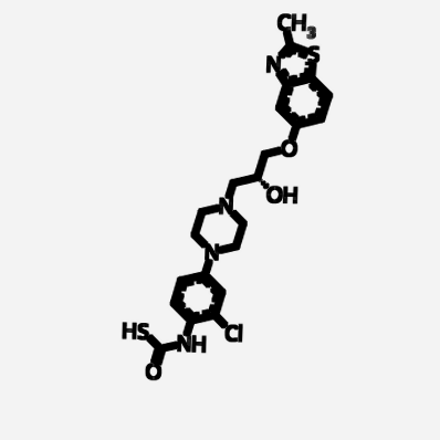 Cc1nc2cc(OC[C@H](O)CN3CCN(c4ccc(NC(=O)S)c(Cl)c4)CC3)ccc2s1